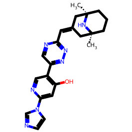 C[C@]12CCC[C@](C)(C/C(=C/c3ncc(-c4cnc(-n5ccnc5)cc4O)nn3)C1)N2